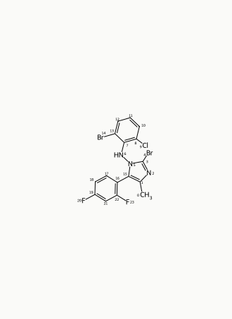 Cc1nc(Br)n(Nc2c(Cl)cccc2Br)c1-c1ccc(F)cc1F